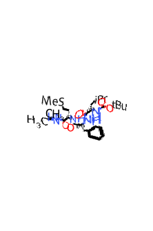 CSCC[C@H](NC(=O)[C@@H](Cc1ccccc1)NC(=O)[C@H](CC(C)C)NC(=O)OC(C)(C)C)C(=O)NN=C(C)C